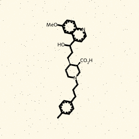 COc1ccc2nccc(C(O)CC[C@@H]3CCN(CCCc4ccc(C)cc4)C[C@@H]3C(=O)O)c2c1